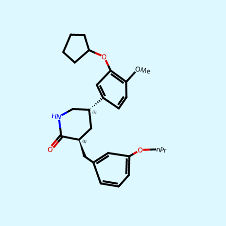 CCCOc1cccc(C[C@@H]2C[C@@H](c3ccc(OC)c(OC4CCCC4)c3)CNC2=O)c1